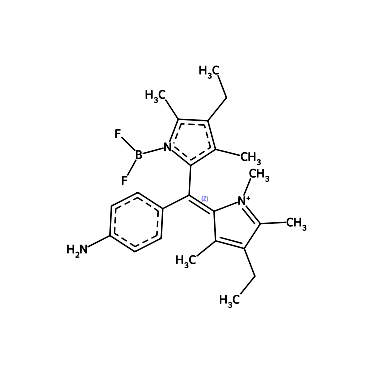 CCC1=C(C)/C(=C(\c2ccc(N)cc2)c2c(C)c(CC)c(C)n2B(F)F)[N+](C)=C1C